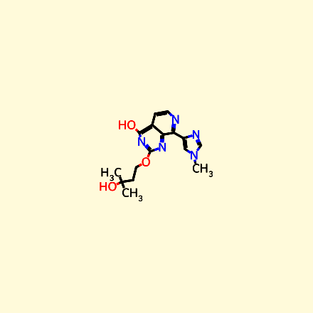 Cn1cnc(-c2nccc3c(O)nc(OCCC(C)(C)O)nc23)c1